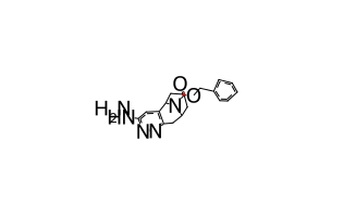 NNc1cc2c(nn1)CC1CCCC2N1C(=O)OCc1ccccc1